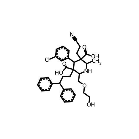 CC1NC(COCCO)C(CCC(c2ccccc2)c2ccccc2)(C(=O)O)C(c2cccc(Cl)c2)C1(CCC#N)C(=O)O